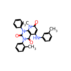 Cc1cccc(Nc2cc(=O)n(C)c3c2c(=O)n(-c2ccccc2C)c(=O)n3-c2ccccc2)c1